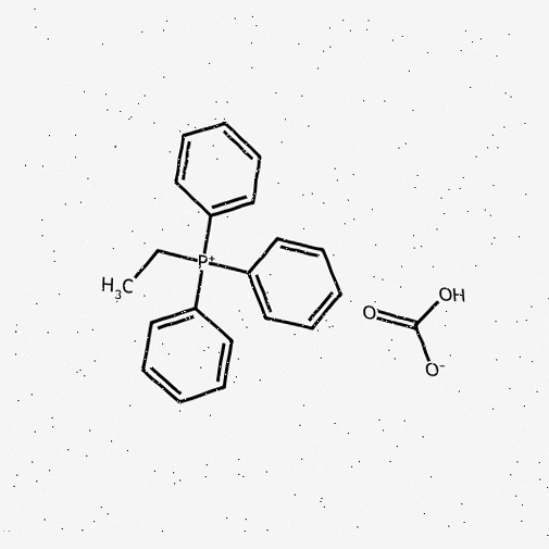 CC[P+](c1ccccc1)(c1ccccc1)c1ccccc1.O=C([O-])O